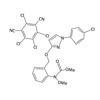 COC(=O)N(OC)c1ccccc1COc1ccn(-c2ccc(Cl)cc2)n1.N#Cc1c(Cl)c(Cl)c(Cl)c(C#N)c1Cl